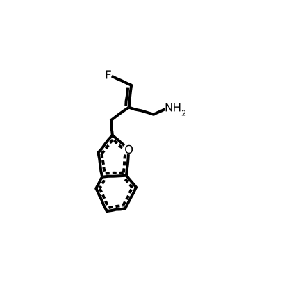 NC/C(=C/F)Cc1cc2ccccc2o1